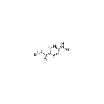 CCNc1ccc(C(=O)CBr)cn1